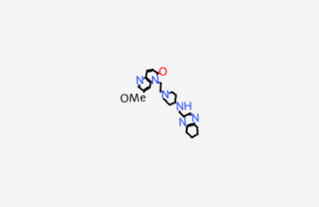 COc1cnc2ccc(=O)n(CCN3CCC(NCc4cnc5c(n4)CCCC5)CC3)c2c1